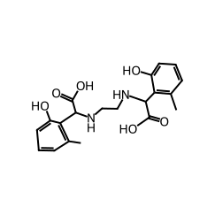 Cc1cccc(O)c1C(NCCNC(C(=O)O)c1c(C)cccc1O)C(=O)O